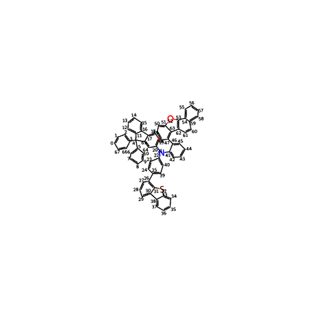 c1ccc(C2(c3ccccc3)c3ccccc3-c3ccc(N(c4ccc(-c5cccc6c5sc5ccccc56)cc4)c4ccccc4-c4cccc5oc6c7ccccc7ccc6c45)cc32)cc1